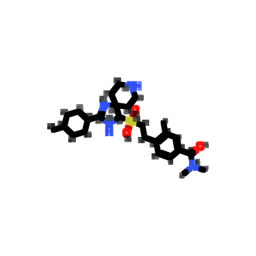 Cc1cc(C(=O)N(C)C)ccc1CCS(=O)(=O)C1NC(C2CCC(C)CC2)=NC12CCNCC2